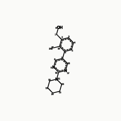 OCc1cccc(-c2cnc(N3CCCCC3)nc2)c1F